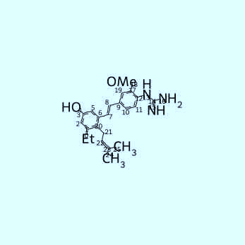 CCc1cc(O)cc(/C=C/c2ccc(NC(=N)N)c(OC)c2)c1CC=C(C)C